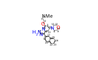 CNCCOc1cc(N2CCOCC2)cc(C(=NN)c2ccc3ccccc3c2)n1